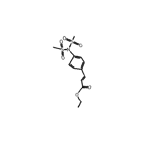 CCOC(=O)C=Cc1ccc(N(S(C)(=O)=O)S(C)(=O)=O)cc1